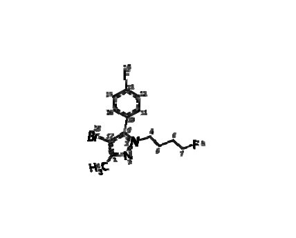 Cc1nn(CCCCF)c(-c2ccc(F)cc2)c1Br